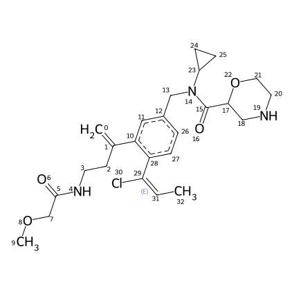 C=C(CCNC(=O)COC)c1cc(CN(C(=O)C2CNCCO2)C2CC2)ccc1/C(Cl)=C\C